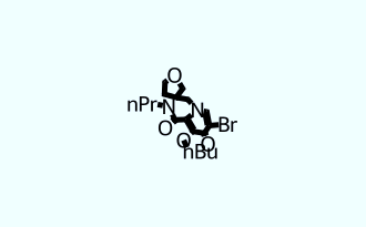 CCCCOc1c2n(cc(Br)c1=O)CC1(CCOC1)N(CCC)C2=O